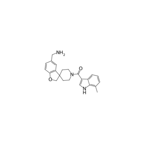 Cc1cccc2c(C(=O)N3CCC4(CC3)COc3ccc(CN)cc34)c[nH]c12